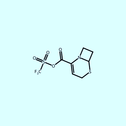 O=C(OS(=O)(=O)C(F)(F)F)C1=CCSC2CCN12